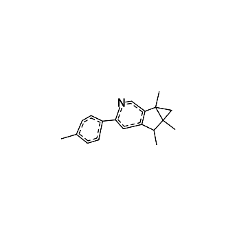 Cc1ccc(-c2cc3c(cn2)C2(C)CC2(C)C3C)cc1